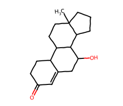 CC12CCCC1C1C(O)CC3=CC(=O)CCC3C1CC2